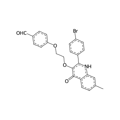 Cc1ccc2c(=O)c(OCCOc3ccc(C=O)cc3)c(-c3ccc(Br)cc3)[nH]c2c1